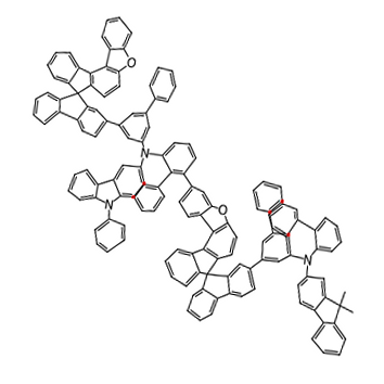 CC1(C)c2ccccc2-c2ccc(N(c3cc(-c4ccccc4)cc(-c4ccc5c(c4)C4(c6ccccc6-5)c5ccccc5-c5c4ccc4oc6cc(-c7cccc(N(c8cc(-c9ccccc9)cc(-c9ccc%10c(c9)C9(c%11ccccc%11-%10)c%10ccccc%10-c%10c9ccc9oc%11ccccc%11c%109)c8)c8ccc9c(c8)c8ccccc8n9-c8ccccc8)c7-c7ccccc7)ccc6c54)c3)c3ccccc3-c3ccccc3)cc21